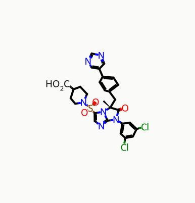 C[C@@]1(Cc2ccc(-c3cncnc3)cc2)C(=O)N(c2cc(Cl)cc(Cl)c2)c2ncc(S(=O)(=O)N3CCC(C(=O)O)CC3)n21